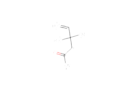 C=CC(C)(C)CC(=O)C#N